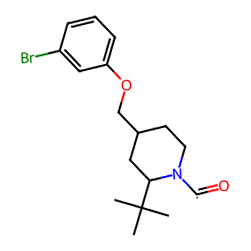 CC(C)(C)C1CC(COc2cccc(Br)c2)CCN1[C]=O